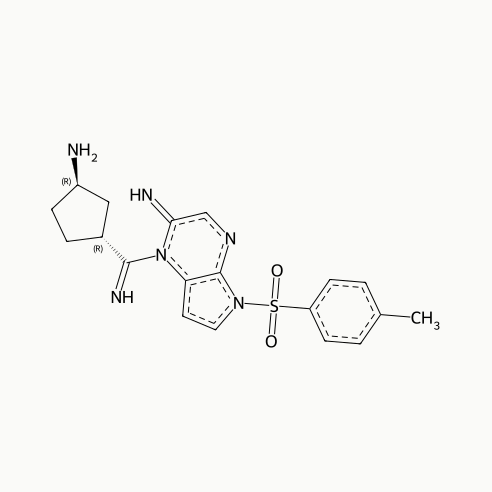 Cc1ccc(S(=O)(=O)n2ccc3c2ncc(=N)n3C(=N)[C@@H]2CC[C@@H](N)C2)cc1